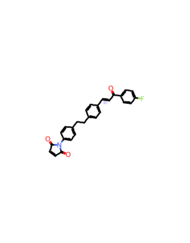 O=C(/C=C/c1ccc(CCc2ccc(N3C(=O)C=CC3=O)cc2)cc1)c1ccc(F)cc1